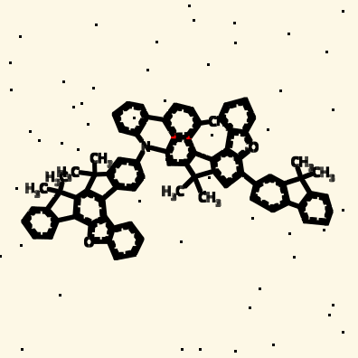 Cc1ccc(-c2ccccc2N(c2ccc3c(c2)C(C)(C)c2cc(-c4ccc5c(c4)C(C)(C)c4ccccc4-5)c4oc5ccccc5c4c2-3)c2ccc3c(c2)C(C)(C)c2c4c(c5oc6ccccc6c5c2-3)-c2ccccc2C4(C)C)cc1